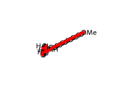 COCCOCCOCCOCCOCCOCCOCCOCCOCCOCCOCCOCCC(=O)NCCCC[C@H](NC(=O)[C@H](CN)N1C(=O)C=CC1=O)C(=O)NC1CCSSC1